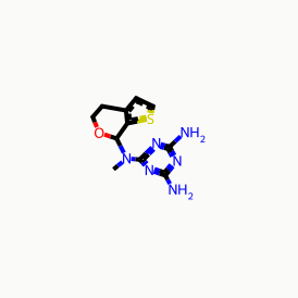 CN(c1nc(N)nc(N)n1)C1OCCc2ccsc21